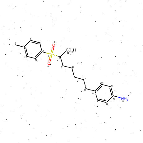 Cc1ccc(S(=O)(=O)C(CCCCCc2ccc(N)cc2)C(=O)O)cc1